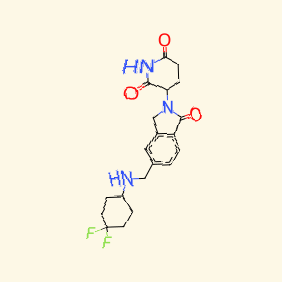 O=C1CCC(N2Cc3cc(CNC4CCC(F)(F)CC4)ccc3C2=O)C(=O)N1